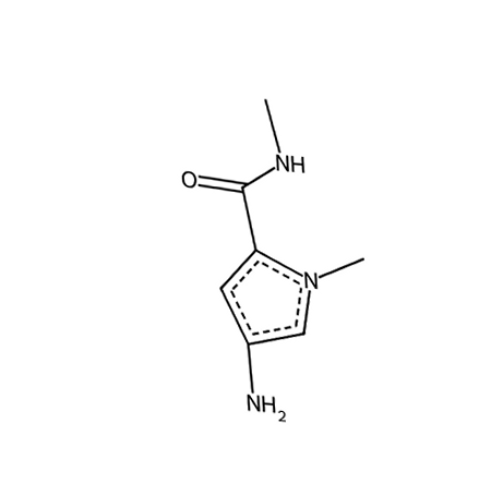 CNC(=O)c1cc(N)cn1C